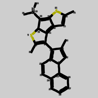 CC1=CC2C(=C1C1=C(C)SC3C1=c1cc(C)sc1=C3[SiH](C)C)C=Cc1ccccc12